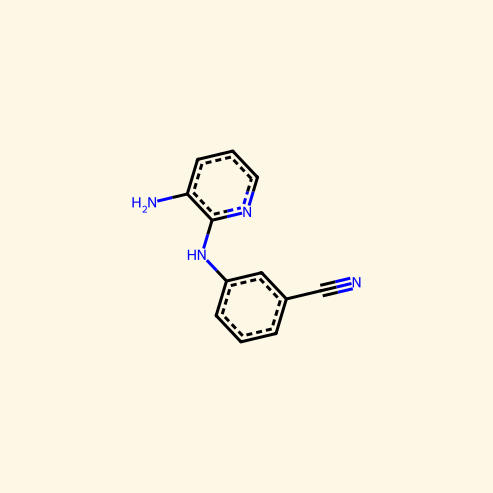 N#Cc1cccc(Nc2ncccc2N)c1